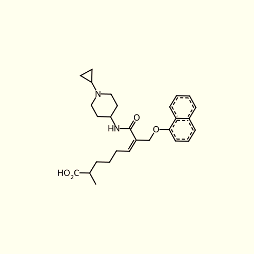 CC(CCCC=C(COc1cccc2ccccc12)C(=O)NC1CCN(C2CC2)CC1)C(=O)O